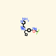 Nc1ccc(-c2cn(C(CC3CCC3)c3ccc(-c4nnc(C(F)F)o4)cc3)nn2)cn1